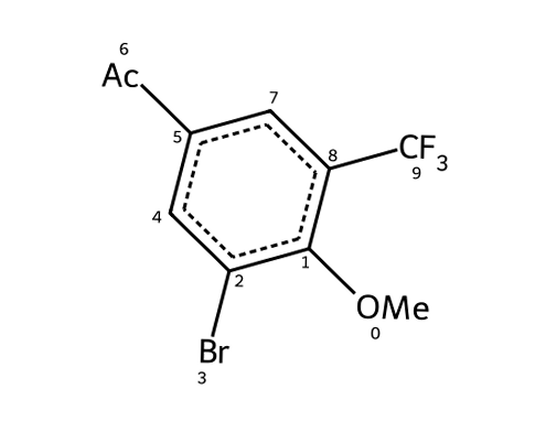 COc1c(Br)cc(C(C)=O)cc1C(F)(F)F